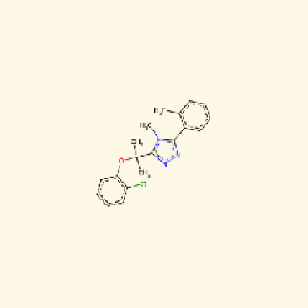 Cc1ccccc1-c1nnc(C(C)(C)Oc2ccccc2Cl)n1C